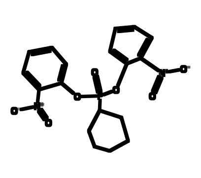 O=[N+]([O-])c1ccccc1OP(=O)(Oc1ccccc1[N+](=O)[O-])C1CCCCC1